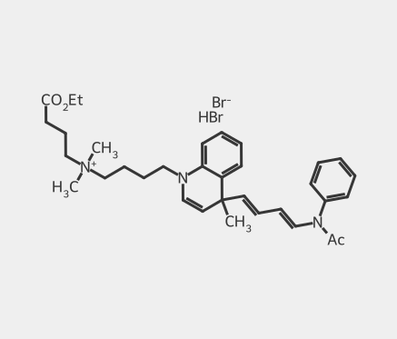 Br.CCOC(=O)CCC[N+](C)(C)CCCCN1C=CC(C)(C=CC=CN(C(C)=O)c2ccccc2)c2ccccc21.[Br-]